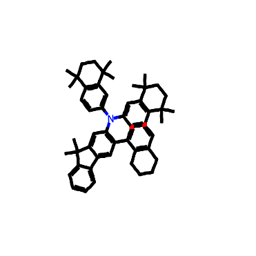 CC1(C)CCC(C)(C)c2cc(N(c3ccc4c(c3)C(C)(C)CCC4(C)C)c3cc4c(cc3-c3cccc5c3CCCC5)-c3ccccc3C4(C)C)ccc21